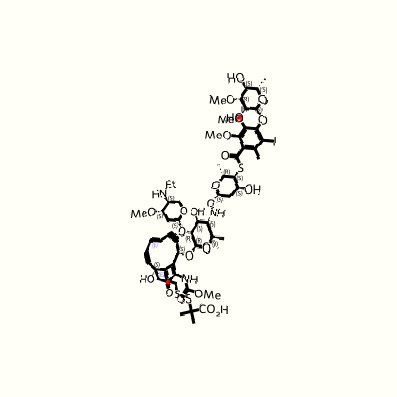 CCN[C@H]1CO[C@@H](O[C@H]2[C@H](O[C@H]3C#C/C=C/C#C[C@]4(O)CC(=O)C(NC(=O)OC)=C3/C4=C\CSSC(C)(C)C(=O)O)O[C@H](C)[C@@H](NO[C@H]3C[C@H](O)[C@H](SC(=O)c4c(C)c(I)c(O[C@@H]5O[C@@H](C)[C@H](O)[C@@H](OC)[C@H]5O)c(OC)c4OC)[C@@H](C)O3)[C@@H]2O)C[C@@H]1OC